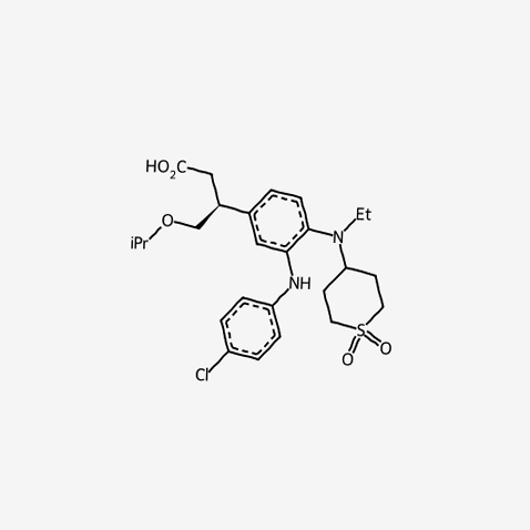 CCN(c1ccc([C@@H](COC(C)C)CC(=O)O)cc1Nc1ccc(Cl)cc1)C1CCS(=O)(=O)CC1